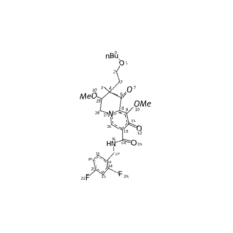 CCCCOCCC1(C)C(=O)c2c(OC)c(=O)c(C(=O)NCc3ccc(F)cc3F)cn2CC1OC